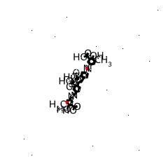 Cc1cc(N=Nc2ccc(C=Cc3ccc(N=Nc4cc(C)c(O)c(C(=O)O)c4)cc3S(=O)(=O)O)c(S(=O)(=O)O)c2)cc(C(=O)O)c1O